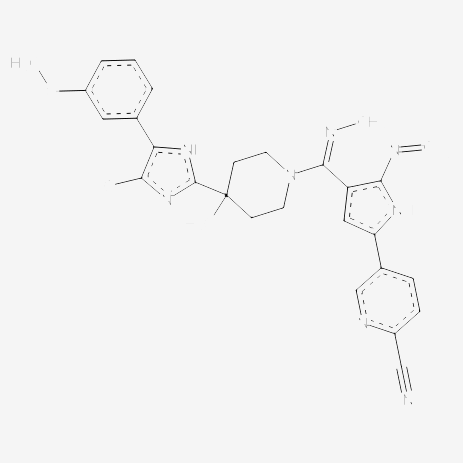 C=Nc1[nH]c(-c2ccc(C#N)nc2)cc1/C(=N\C)N1CCC(C)(c2nc(C)c(-c3cccc(OC)c3)[nH]2)CC1